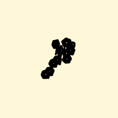 c1ccc(-c2nc(-c3ccc4cc(-c5ccc6ccccc6c5)ccc4c3)nc(-c3c(-c4ccccc4)ccc4oc5ccccc5c34)n2)cc1